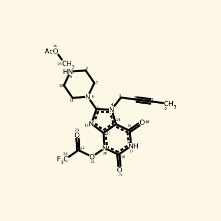 CC#CCn1c(N2CCNCC2)nc2c1c(=O)[nH]c(=O)n2OC(=O)C(F)(F)F.COC(C)=O